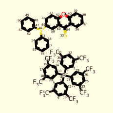 FC(F)(F)c1cc([B-](c2cc(C(F)(F)F)cc(C(F)(F)F)c2)(c2cc(C(F)(F)F)cc(C(F)(F)F)c2)c2cc(C(F)(F)F)cc(C(F)(F)F)c2)cc(C(F)(F)F)c1.S=c1c2ccccc2oc2ccc([S+](c3ccccc3)c3ccccc3)cc12